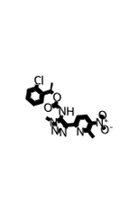 Cc1nc(-c2nnn(C)c2NC(=O)O[C@H](C)c2ccccc2Cl)ccc1[N+](=O)[O-]